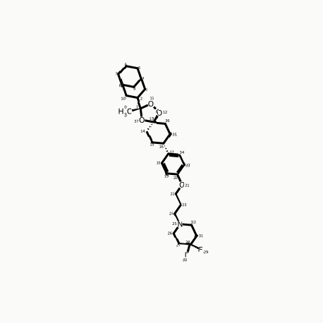 C[C@@]1(C2CC3CCCC(C3)C2)OO[C@]2(CC[C@@H](c3ccc(OCCCN4CCC(F)(F)CC4)cc3)CC2)O1